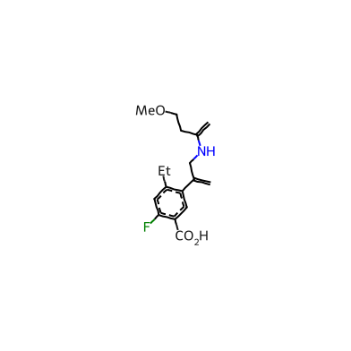 C=C(CCOC)NCC(=C)c1cc(C(=O)O)c(F)cc1CC